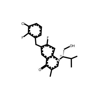 Cc1cn([C@H](CO)C(C)C)c2cc(F)c(Cc3cccc(Cl)c3F)cc2c1=O